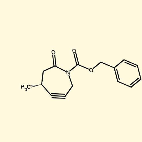 C[C@H]1C#CCN(C(=O)OCc2ccccc2)C(=O)C1